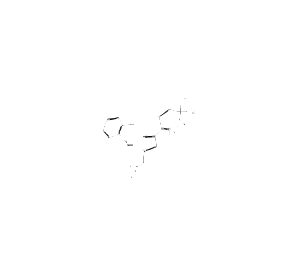 CNCC1=CC(C2=NNC(Br)(OC)C=C2)=C[SH]1Cc1c(F)cccc1F